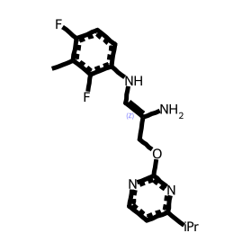 Cc1c(F)ccc(N/C=C(\N)COc2nccc(C(C)C)n2)c1F